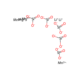 O=[Si]([O-])[O-].O=[Si]([O-])[O-].O=[Si]([O-])[O-].O=[Si]([O-])[O-].O=[Si]([O-])[O-].[Li+].[Li+].[Mg+2].[Mg+2].[Mn+2].[Mn+2]